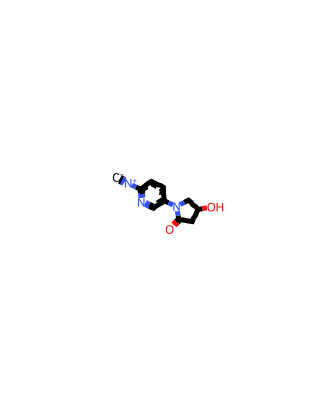 [C-]#[N+]c1ccc(N2CC(O)CC2=O)cn1